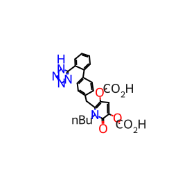 CCCCn1c(Cc2ccc(-c3ccccc3-c3nnn[nH]3)cc2)c(OC(=O)O)cc(OC(=O)O)c1=O